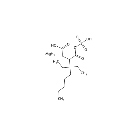 CCCCCC(CC)(CC)C(CC(=O)O)C(=O)OS(=O)(=O)O.[MgH2]